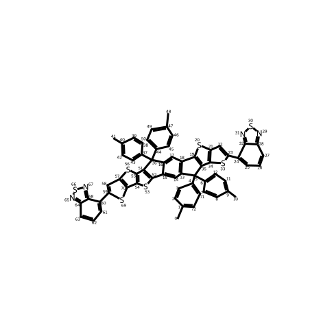 Cc1ccc(C2(c3ccc(C)cc3)c3cc4c(cc3-c3sc5cc(-c6cccc7nsnc67)sc5c32)C(c2ccc(C)cc2)(c2ccc(C)cc2)c2c-4sc3c2sc2cc(-c4cccc5nsnc45)sc23)cc1